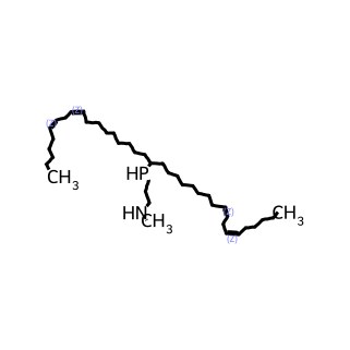 CCCCC/C=C\C/C=C\CCCCCCCCC(CCCCCCCC/C=C\C/C=C\CCCCC)PCCCNC